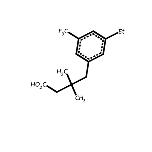 CCc1cc(CC(C)(C)CC(=O)O)cc(C(F)(F)F)c1